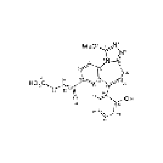 COc1nnc2n1-c1ccc(C(=O)NCC(=O)O)cc1C(c1ccccc1Cl)=NC2